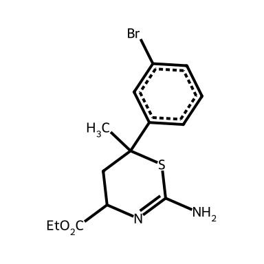 CCOC(=O)C1CC(C)(c2cccc(Br)c2)SC(N)=N1